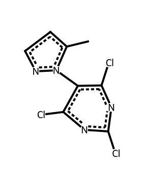 Cc1ccnn1-c1c(Cl)nc(Cl)nc1Cl